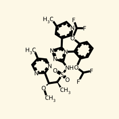 CO[C@H](c1ncc(C)cn1)[C@H](C)S(=O)(=O)Nc1nnc(-c2cncc(C)c2)n1-c1c(OC(F)F)cccc1OC(F)F